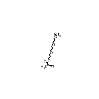 C=C(C#N)C(=O)OCCCOCCCOCCCOC